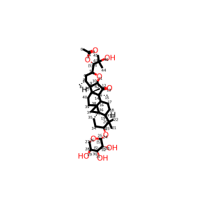 CC(=O)O[C@@H](C1C[C@@H](C)[C@H]2C(O1)C(=O)[C@@]1(C)C3CC[C@H]4C(C)(C)[C@@H](O[C@@H]5OCC(O)[C@H](O)[C@H]5O)CC[C@@]45CC35CC[C@]21C)C(C)(C)O